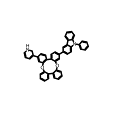 C1=CNCC(c2ccc3c(c2)Oc2ccccc2-c2ccccc2Oc2cc(-c4ccc5c(c4)c4ccccc4n5-c4ccccc4)ccc2-3)=C1